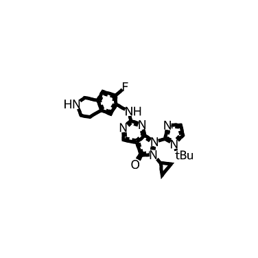 CC(C)(C)n1ccnc1-n1c2nc(Nc3cc4c(cc3F)CNCC4)ncc2c(=O)n1C1CC1